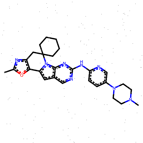 Cc1nc2c(o1)-c1cc3cnc(Nc4ccc(N5CCN(C)CC5)cn4)nc3n1C1(CCCCC1)C2